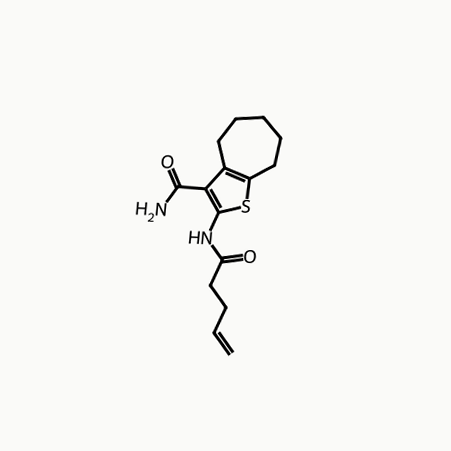 C=CCCC(=O)Nc1sc2c(c1C(N)=O)CCCCC2